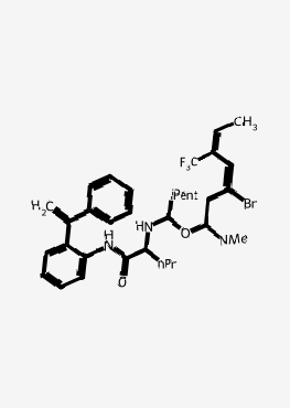 C=C(c1ccccc1)c1ccccc1NC(=O)C(CCC)NC(OC(C/C(Br)=C\C(=C/C)C(F)(F)F)NC)C(C)CCC